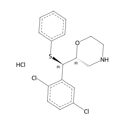 Cl.Clc1ccc(Cl)c([C@@H](Sc2ccccc2)[C@H]2CNCCO2)c1